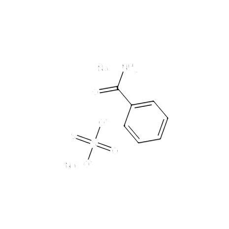 NC(=O)c1ccccc1.O=S([O-])([O-])=S.[Na+].[Na+]